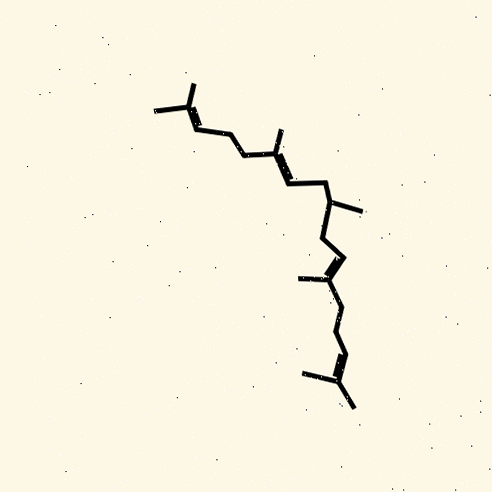 [CH2]C(C/C=C(\C)CCC=C(C)C)C/C=C(\C)CCC=C(C)C